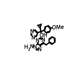 COc1ccc(C(O)(c2cncnc2)C2CC2)cc1.Nn1cnc2c(Cc3ccccc3)ncnc21